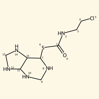 O=C(NCCCl)SC1NCNC2NCNC21